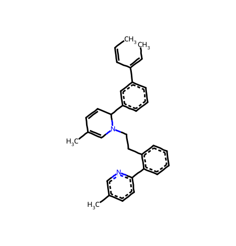 C/C=C\C(=C/C)c1cccc(C2C=CC(C)=CN2CCc2ccccc2-c2ccc(C)cn2)c1